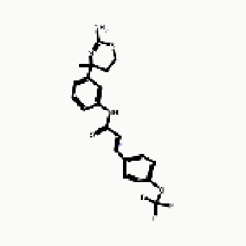 CC1(c2cccc(NC(=O)/C=C/c3ccc(OC(F)(F)F)cc3)c2)CCSC(N)=N1